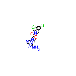 C[C@H]1c2c(Cl)cc(Cl)cc2CCN1C(=O)[C@H]1CN(c2cncc3nc(N)cn23)[C@@H](C)CO1